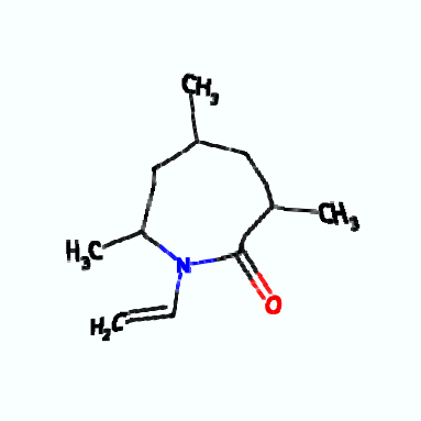 C=CN1C(=O)C(C)CC(C)CC1C